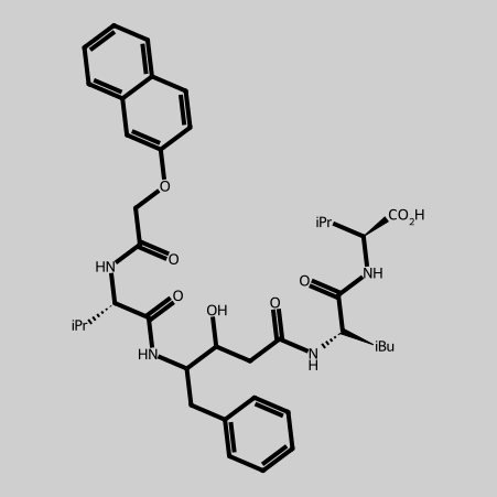 CC[C@H](C)[C@H](NC(=O)CC(O)C(Cc1ccccc1)NC(=O)[C@@H](NC(=O)COc1ccc2ccccc2c1)C(C)C)C(=O)N[C@H](C(=O)O)C(C)C